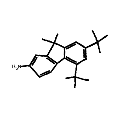 CC(C)(C)c1cc(C(C)(C)C)c2c(c1)C(C)(C)c1cc(N)ccc1-2